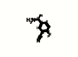 C[C@H](N)c1ccc(F)c(C#N)c1